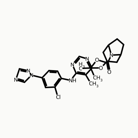 Cc1c(Nc2ccc(-n3cncn3)cc2Cl)ncnc1OC1CC2CCC(C1)N2C(=O)OC(C)C